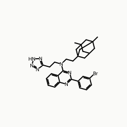 CC12CC3CC(C)(C1)CC(CCN(CCc1nn[nH]n1)c1nc(-c4cccc(Br)c4)nc4ccccc14)(C3)C2